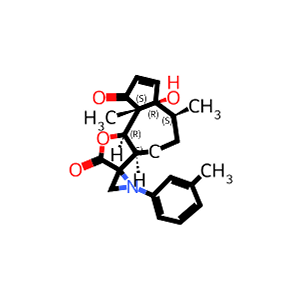 Cc1cccc(N2CC23C(=O)O[C@@H]2[C@H]3CC[C@H](C)[C@@]3(O)C=CC(=O)[C@@]23C)c1